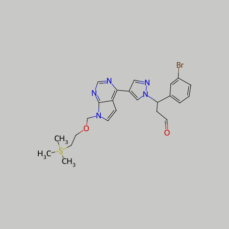 CS(C)(C)CCOCn1ccc2c(-c3cnn(C(CC=O)c4cccc(Br)c4)c3)ncnc21